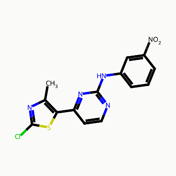 Cc1nc(Cl)sc1-c1ccnc(Nc2cccc([N+](=O)[O-])c2)n1